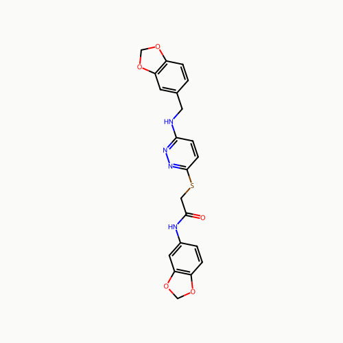 O=C(CSc1ccc(NCc2ccc3c(c2)OCO3)nn1)Nc1ccc2c(c1)OCO2